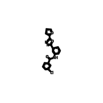 O=C(Nc1cccc(-c2nnc(-c3ccco3)o2)c1)c1cccc(Cl)c1